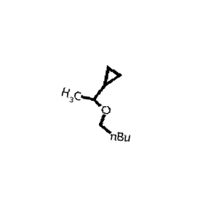 [CH2]CCCCOC(C)C1CC1